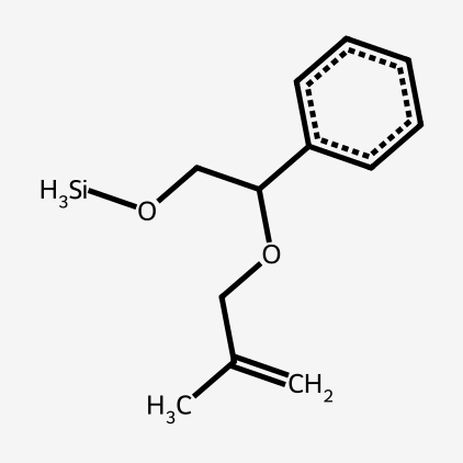 C=C(C)COC(CO[SiH3])c1ccccc1